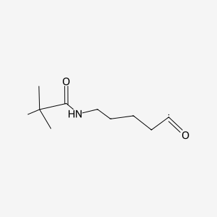 CC(C)(C)C(=O)NCCCC[C]=O